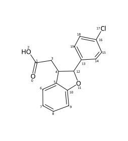 O=C(O)CC1c2ccccc2OC1c1ccc(Cl)cc1